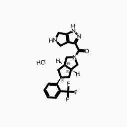 Cl.O=C(c1n[nH]c2c1CNC2)N1C[C@H]2C[C@@H](c3ccccc3C(F)(F)F)C[C@H]2C1